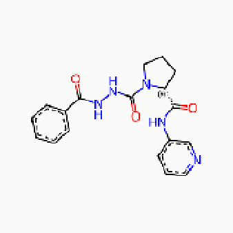 O=C(NNC(=O)N1CCC[C@@H]1C(=O)Nc1cccnc1)c1ccccc1